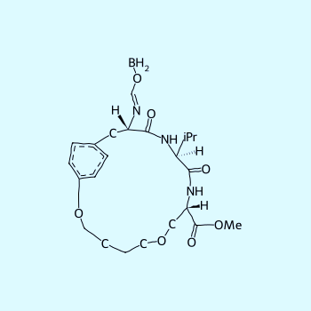 BOC=N[C@H]1Cc2ccc(cc2)OCCCCOC[C@@H](C(=O)OC)NC(=O)[C@H](C(C)C)NC1=O